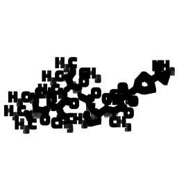 CC[C@H](C)[C@@H]([C@@H](CC(=O)N1CCC[C@H]1[C@H](OC)[C@@H](C)C(=O)NS(=O)(=O)c1ccc(C2(N)CC2)cc1)OC)N(C)C(=O)C(NC(=O)[C@H](C(C)C)N(C)C)C(C)C